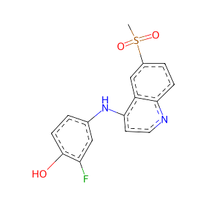 CS(=O)(=O)c1ccc2nccc(Nc3ccc(O)c(F)c3)c2c1